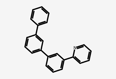 c1ccc(-c2cccc(-c3cccc(-c4ccccn4)c3)c2)cc1